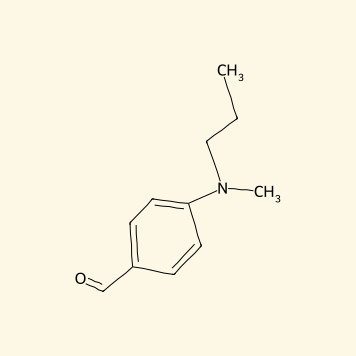 CCCN(C)c1ccc(C=O)cc1